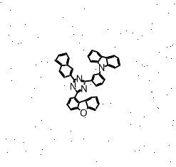 c1cc(-c2nc(-c3ccc4ccccc4c3)nc(-c3cccc4oc5ccccc5c34)n2)cc(-n2c3ccccc3c3ccccc32)c1